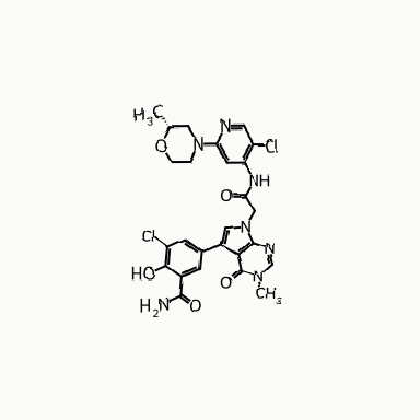 C[C@@H]1CN(c2cc(NC(=O)Cn3cc(-c4cc(Cl)c(O)c(C(N)=O)c4)c4c(=O)n(C)cnc43)c(Cl)cn2)CCO1